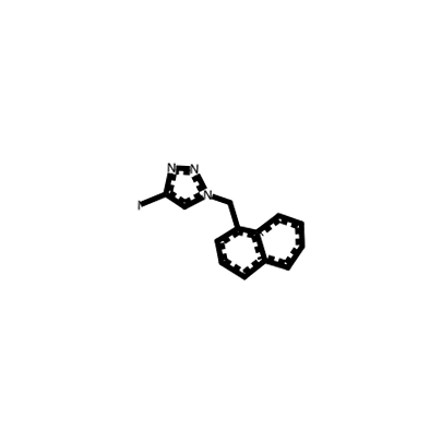 Ic1cn(Cc2cccc3ccccc23)nn1